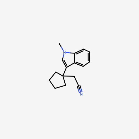 Cn1cc(C2(CC#N)CCCC2)c2ccccc21